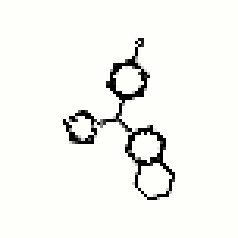 Clc1ccc(C(c2ccc3c(c2)CCCC3)n2ccnc2)cc1